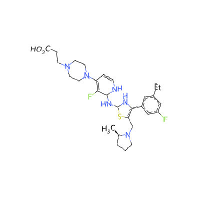 CCc1cc(F)cc(C2=C(CN3CCC[C@H]3C)SC(NC3NC=CC(N4CCN(CCC(=O)O)CC4)=C3F)N2)c1